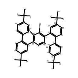 CC(C)(C)c1ccc(-c2ccc(C(C)(C)C)cc2-c2cc(F)c(-c3cc(C(C)(C)C)ccc3-c3ccc(C(C)(C)C)cc3)c(F)c2F)cc1